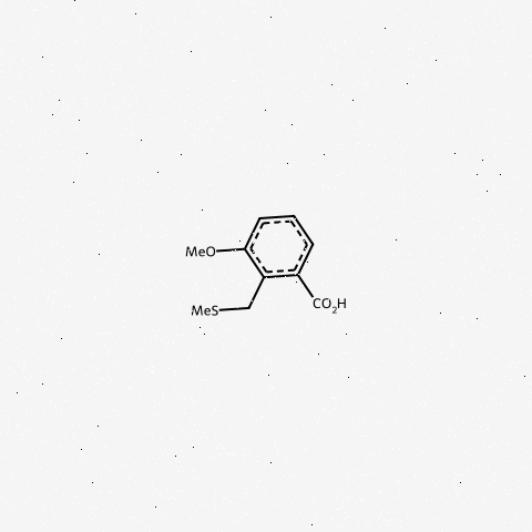 COc1cccc(C(=O)O)c1CSC